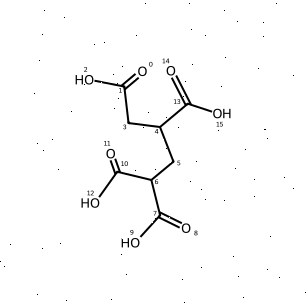 O=C(O)CC(CC(C(=O)O)C(=O)O)C(=O)O